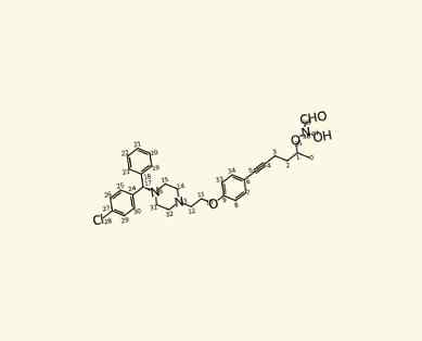 CC(CCC#Cc1ccc(OCCN2CCN([C@H](c3ccccc3)c3ccc(Cl)cc3)CC2)cc1)ON(O)C=O